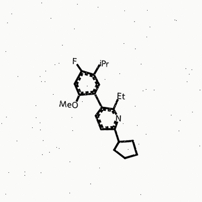 CCc1nc(C2CCCC2)ccc1-c1cc(C(C)C)c(F)cc1OC